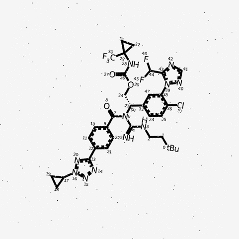 CC(C)(C)CCNC(=N)N(C(=O)c1ccc(-c2nnn(C3CC3)n2)cc1)[C@H](COC(=O)NC1(C(F)(F)F)CC1)c1ccc(Cl)c(-n2ncnc2C(F)F)c1